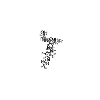 C=C(C1=CC(S(=O)(=O)C2CC2)N=C1)/C(C)=C(\C=C/C)Nc1cc(C(=N)CC(C)C)c(C(=O)NC[C@@H](F)C(C)(C)O)cn1